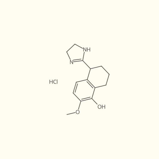 COc1ccc2c(c1O)CCCC2C1=NCCN1.Cl